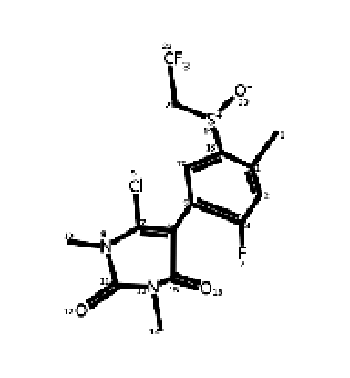 Cc1cc(F)c(-c2c(Cl)n(C)c(=O)n(C)c2=O)cc1[S+]([O-])CC(F)(F)F